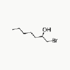 CCCCCC(O)CBr